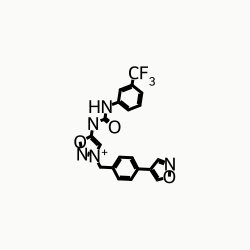 O=C([N-]c1c[n+](Cc2ccc(-c3cnoc3)cc2)no1)Nc1cccc(C(F)(F)F)c1